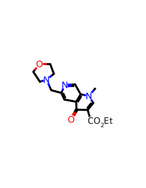 CCOC(=O)c1cn(C)c2cnc(CN3CCOCC3)cc2c1=O